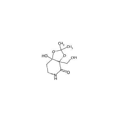 CC1(C)OC2(O)CCNC(=O)C2(CO)O1